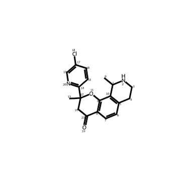 CC1NCCc2ccc3c(c21)OC(C)(c1ccc(Cl)cn1)CC3=O